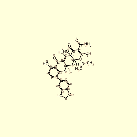 CN(C)[C@H]1C(O)=C(C(N)=O)C(=O)[C@@]2(O)C(O)=C3C(=O)c4c(O)ccc(-c5ccc6c(c5)OCO6)c4C[C@@H]3C[C@@H]12